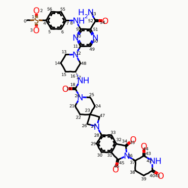 CS(=O)(=O)c1ccc(Nc2nc(N3CCC[C@@H](NC(=O)N4CCC5(CC4)CN(c4ccc6c(c4)C(=O)N(C4CCC(=O)NC4=O)C6=O)C5)C3)cnc2C(N)=O)cc1